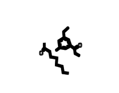 CCC(=O)c1cc(C)cc(CC)c1.CCCCCCCC(C)=O